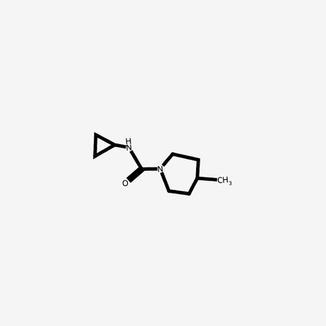 CC1CCN(C(=O)NC2CC2)CC1